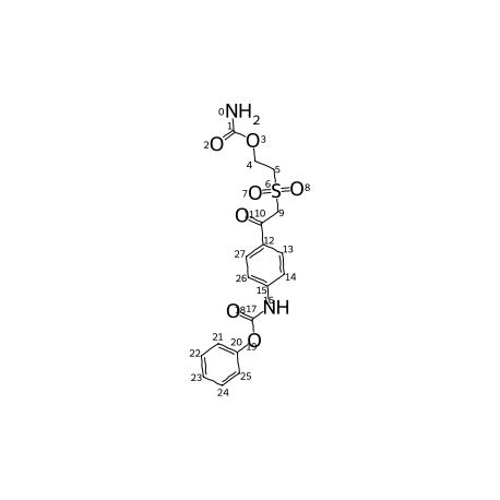 NC(=O)OCCS(=O)(=O)CC(=O)c1ccc(NC(=O)Oc2ccccc2)cc1